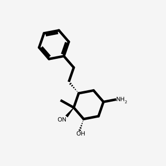 C[C@]1(N=O)[C@H](CCc2ccccc2)CC(N)C[C@@H]1O